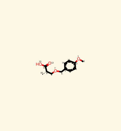 COc1ccc(COC[C@H](C)C(=O)O)cc1